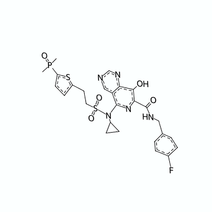 CP(C)(=O)c1ccc(CCS(=O)(=O)N(c2nc(C(=O)NCc3ccc(F)cc3)c(O)c3ncncc23)C2CC2)s1